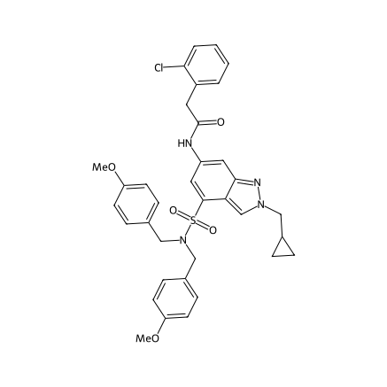 COc1ccc(CN(Cc2ccc(OC)cc2)S(=O)(=O)c2cc(NC(=O)Cc3ccccc3Cl)cc3nn(CC4CC4)cc23)cc1